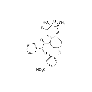 C=C1C=C2CC[C@H](Oc3ccc(C(=O)O)cc3)CN(C(=O)[C@@H](C)c3ccccc3)C2=CC(F)C1(O)C(F)(F)F